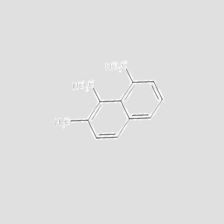 Cc1ccc2cccc(C(=O)O)c2c1C(=O)O